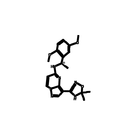 COc1ccc(OC)c([C@@H](C)Nc2ccn3ncc(C4=NOC(C)(C)N4)c3n2)c1